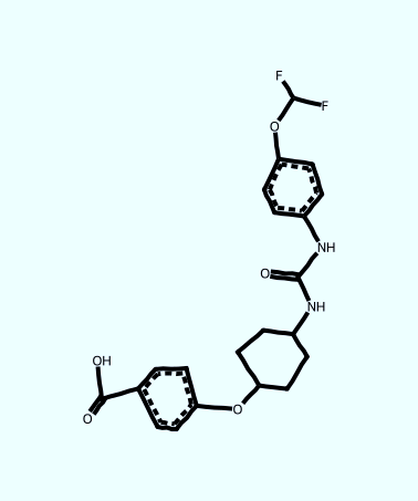 O=C(Nc1ccc(OC(F)F)cc1)NC1CCC(Oc2ccc(C(=O)O)cc2)CC1